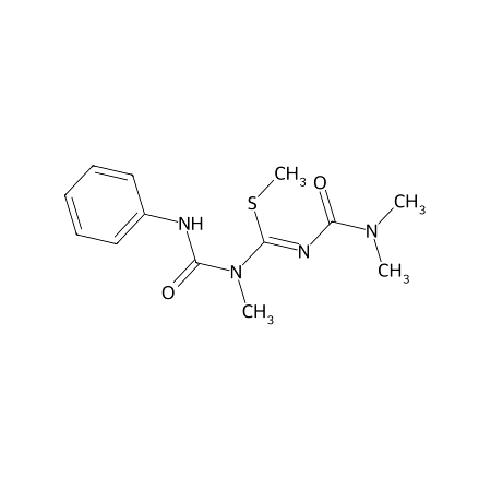 CSC(=NC(=O)N(C)C)N(C)C(=O)Nc1ccccc1